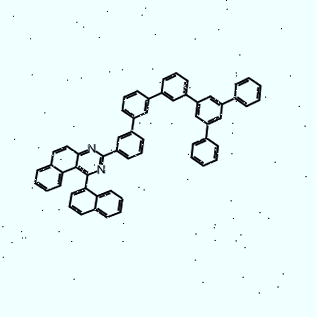 c1ccc(-c2cc(-c3ccccc3)cc(-c3cccc(-c4cccc(-c5cccc(-c6nc(-c7cccc8ccccc78)c7c(ccc8ccccc87)n6)c5)c4)c3)c2)cc1